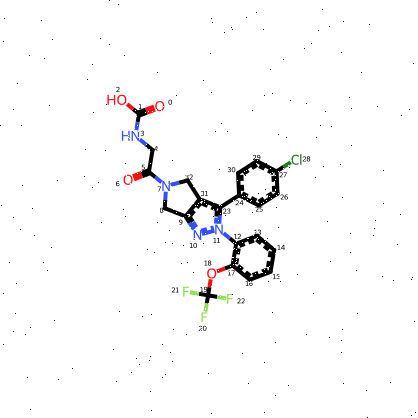 O=C(O)NCC(=O)N1Cc2nn(-c3ccccc3OC(F)(F)F)c(-c3ccc(Cl)cc3)c2C1